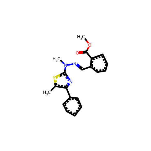 COC(=O)c1ccccc1/C=N/N(C)c1nc(-c2ccccc2)c(C)s1